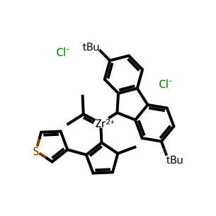 C[C](C)=[Zr+2]([C]1=C(c2ccsc2)C=CC1C)[CH]1c2cc(C(C)(C)C)ccc2-c2ccc(C(C)(C)C)cc21.[Cl-].[Cl-]